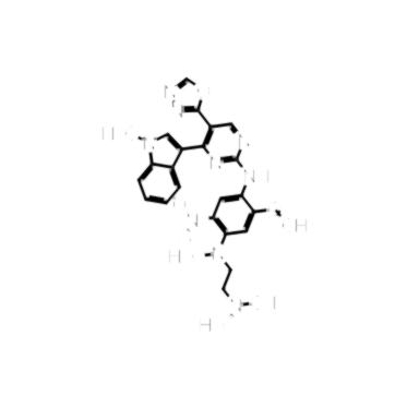 COc1cc(N(C)CCN(C)C)c([N+](=O)[O-])cc1Nc1ncc(-c2nnco2)c(-c2cn(C)c3ccccc23)n1